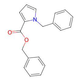 O=C(OCc1ccccc1)c1cccn1Cc1ccccc1